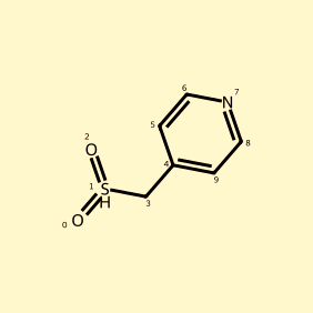 O=[SH](=O)Cc1[c]cncc1